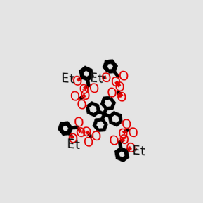 CCOc1ccccc1C(=O)OOC(=O)OC1CCC(C(C2CCC(OC(=O)OOC(=O)c3ccccc3OCC)CC2)(C2CCC(OC(=O)OOC(=O)c3ccccc3OCC)CC2)C2CCC(OC(=O)OOC(=O)c3ccccc3OCC)CC2)CC1